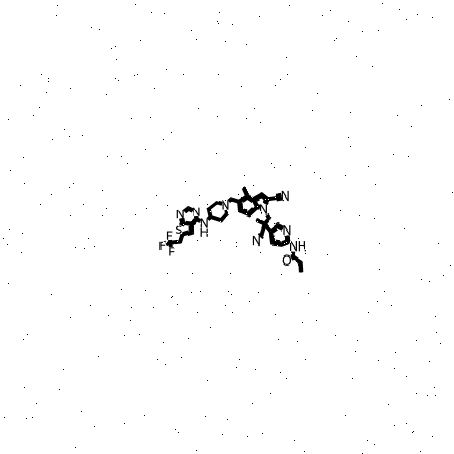 C=CC(=O)Nc1ccc(C(C)(C#N)Cn2c(C#N)cc3c(C)c(CN4CCC(Nc5ncnc6sc(CC(F)(F)F)cc56)CC4)ccc32)cn1